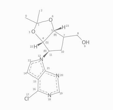 CC1(C)O[C@@H]2[C@H](O1)C(CO)C[C@H]2n1ccc2c(Cl)ncnc21